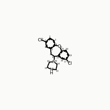 Clc1ccc2c(c1)CC(N1CCNCC1)c1cc(Cl)ccc1O2